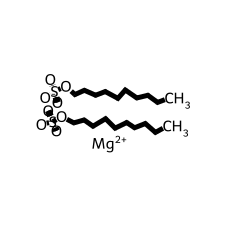 CCCCCCCCCCOS(=O)(=O)[O-].CCCCCCCCCCOS(=O)(=O)[O-].[Mg+2]